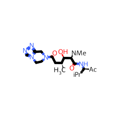 CN[C@@H](C(=O)N[C@@H](C(C)=O)C(C)C)[C@H](O)[C@H](C)CC(=O)N1CCn2cnnc2C1